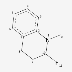 CN1c2ccccc2CCC1F